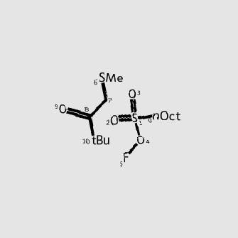 CCCCCCCCS(=O)(=O)OF.CSCC(=O)C(C)(C)C